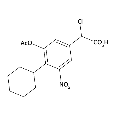 CC(=O)Oc1cc(C(Cl)C(=O)O)cc([N+](=O)[O-])c1C1CCCCC1